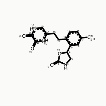 O=C1NCC(c2cc(C(F)(F)F)ccc2CCc2c[nH]c(=O)c(=O)[nH]2)O1